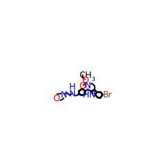 CCOC(=O)N1CCc2c([nH]c3ccc(Br)cc23)C1c1ccc(CNCCN2CCOCC2)cc1